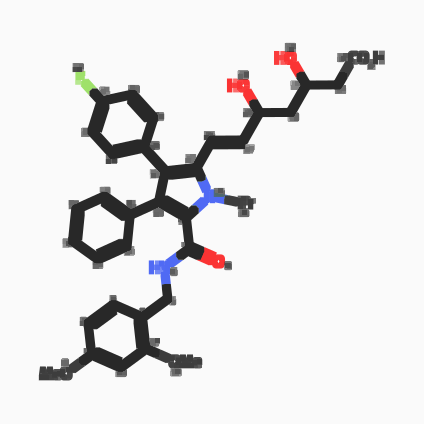 COc1ccc(CNC(=O)c2c(-c3ccccc3)c(-c3ccc(F)cc3)c(/C=C/C(O)CC(O)CC(=O)O)n2C(C)C)c(OC)c1